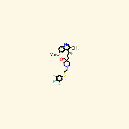 COc1ccc2ncc(C)c([C@H](F)CCC3(CO)CCN(CCSc4cc(F)c(F)c(F)c4)CC3)c2c1